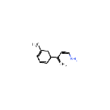 C=C(/C=C\N)C1C=CC=C(C)C1